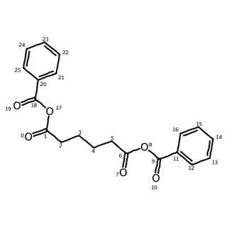 O=C(CCCCC(=O)OC(=O)c1ccccc1)OC(=O)c1ccccc1